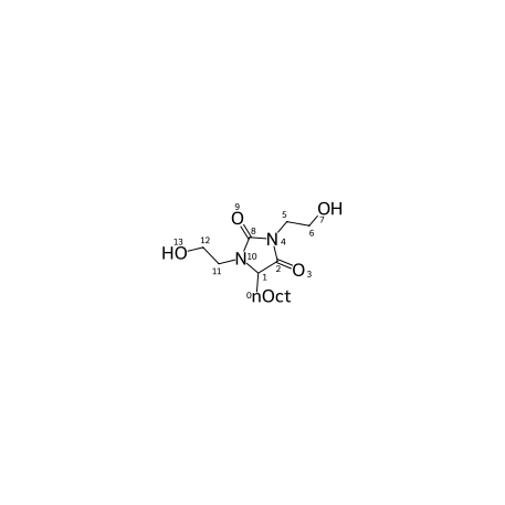 CCCCCCCCC1C(=O)N(CCO)C(=O)N1CCO